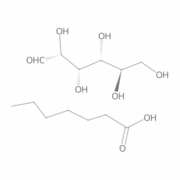 CCCCCCC(=O)O.O=C[C@H](O)[C@@H](O)[C@H](O)[C@H](O)CO